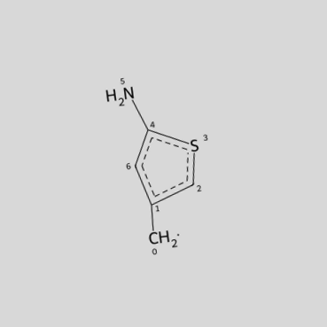 [CH2]c1csc(N)c1